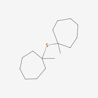 CC1(SC2(C)CCCCCC2)CCCCCC1